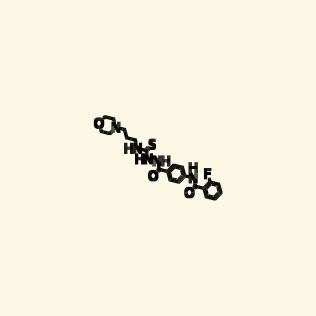 O=C(NNC(=S)NCCCN1CCOCC1)c1ccc(NC(=O)c2ccccc2F)cc1